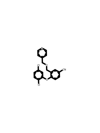 N#Cc1ccc(Oc2cc(Cl)ccc2Cl)c(COCc2ccncc2)c1